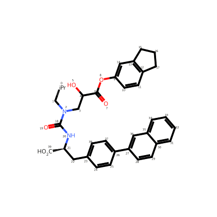 CC(C)CN(CC(O)C(=O)Oc1ccc2c(c1)CCC2)C(=O)N[C@@H](Cc1ccc(-c2ccc3ccccc3c2)cc1)C(=O)O